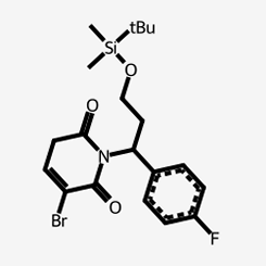 CC(C)(C)[Si](C)(C)OCCC(c1ccc(F)cc1)N1C(=O)CC=C(Br)C1=O